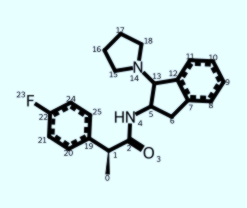 C[C@H](C(=O)NC1Cc2ccccc2C1N1CCCC1)c1ccc(F)cc1